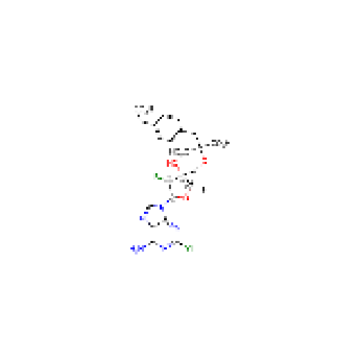 Nc1nc(Cl)nc2c1ncn2[C@@H]1O[C@@H]2C(OC(Cc3ccc(CC(=O)O)cc3)(C(=O)O)C(=O)O)[C@]2(O)[C@@H]1F